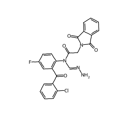 NN=CN(C(=O)CN1C(=O)c2ccccc2C1=O)c1ccc(F)cc1C(=O)c1ccccc1Cl